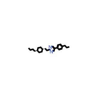 CCCC[C@H]1CC[C@H](CCc2ncc(-c3ccc(CCC)cc3)cn2)CC1